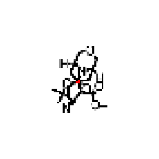 C=CC1(C(C#N)C(=O)OC)C[C@H]2COC[C@@H](C1)N2C(=O)OC(C)(C)C